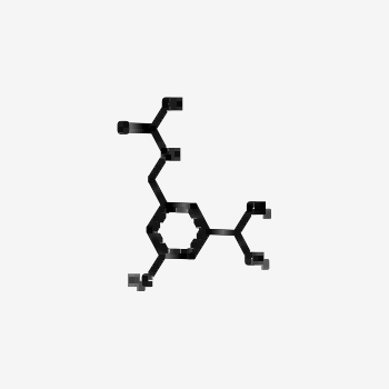 Cc1cc(CNC(=O)O)cc(C(C)C)c1